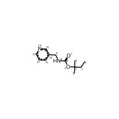 CCC(C)(C)OC(=O)NCc1cccnc1